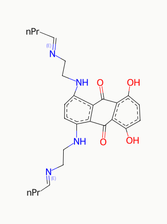 CCC/C=N/CCNc1ccc(NCC/N=C/CCC)c2c1C(=O)c1c(O)ccc(O)c1C2=O